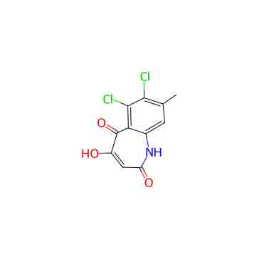 Cc1cc2[nH]c(=O)cc(O)c(=O)c2c(Cl)c1Cl